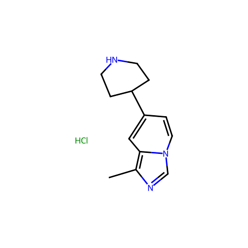 Cc1ncn2ccc(C3CCNCC3)cc12.Cl